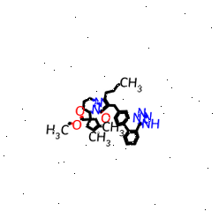 CCCCc1c(Cc2ccc(-c3ccccc3-c3nnn[nH]3)cc2)c(=O)n2n1CCCC2C1(C(=O)OCC)CC(C)=C(C)C1